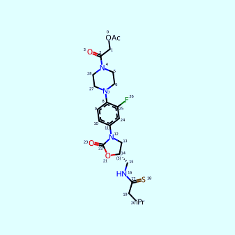 CC(=O)OCC(=O)N1CCN(c2ccc(N3C[C@H](CNC(=S)CC(C)C)OC3=O)cc2F)CC1